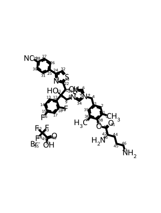 Cc1cc(C[n+]2cnn(C[C@](O)(c3ccc(F)cc3F)[C@@H](C)c3nc(-c4ccc(C#N)cc4)cs3)c2)cc(C)c1OC(=O)[C@@H](N)CCCN.O=C(O)C(F)(F)F.[Br-]